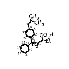 C=C(CC)C(=O)O.CN(C)Cc1ccc(C(=O)c2ccccc2)cc1